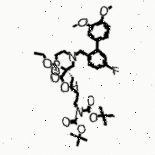 CCOP1(=O)CCN(Cc2ccc(F)cc2-c2ccc(OC)c(OC)c2)C[C@@]1(CCCCN(C(=O)OC(C)(C)C)C(=O)OC(C)(C)C)C(=O)O